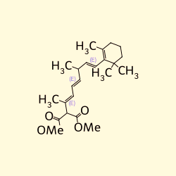 COC(=O)C(C(=O)OC)/C(C)=C/C=C/C(C)/C=C/C1=C(C)CCCC1(C)C